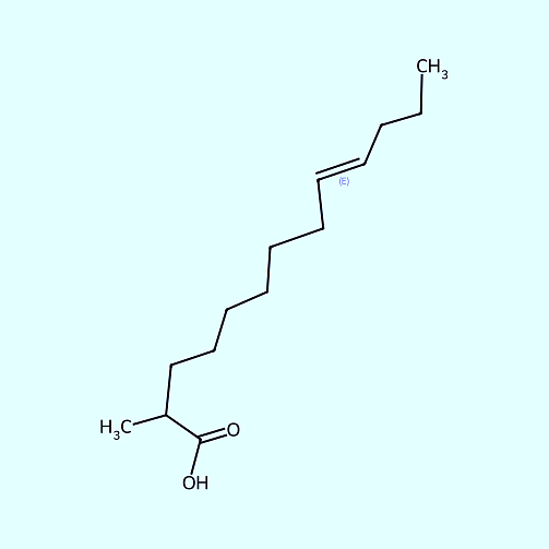 CCC/C=C/CCCCCCC(C)C(=O)O